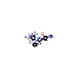 Cc1ccccc1N(c1ccc(-c2ccc(-n3cccn3)cc2O)nn1)C1CC(C)(C)NC(C)(C)C1